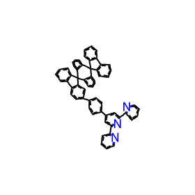 c1ccc(-c2cc(-c3ccc(-c4ccc5c(c4)C4(c6ccccc6-5)c5ccccc5C5(c6ccccc6-c6ccccc65)c5ccccc54)cc3)cc(-c3ccccn3)n2)nc1